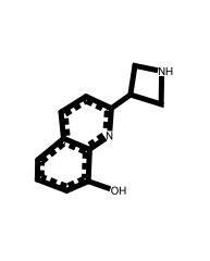 Oc1cccc2ccc(C3CNC3)nc12